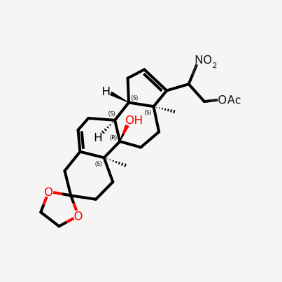 CC(=O)OCC(C1=CC[C@H]2[C@@H]3CC=C4CC5(CC[C@]4(C)[C@@]3(O)CC[C@]12C)OCCO5)[N+](=O)[O-]